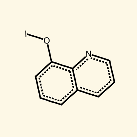 IOc1cccc2cccnc12